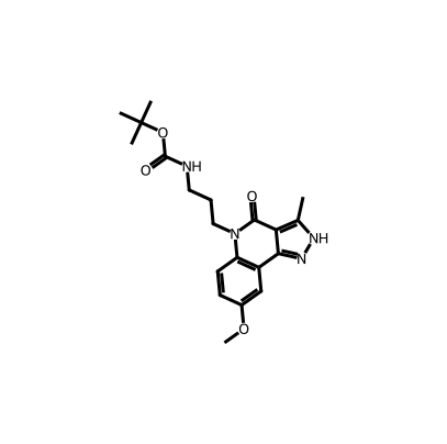 COc1ccc2c(c1)c1n[nH]c(C)c1c(=O)n2CCCNC(=O)OC(C)(C)C